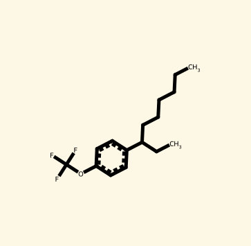 CCCCCCC(CC)c1ccc(OC(F)(F)F)cc1